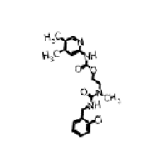 Cc1cnc(NC(=O)OCCN(C)C(=O)NCc2ccccc2Cl)cc1C